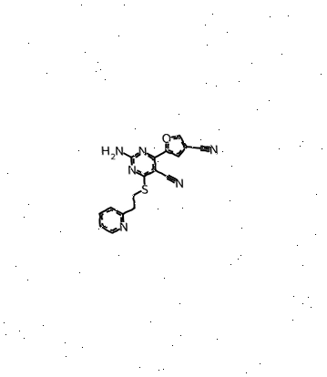 N#Cc1coc(-c2nc(N)nc(SCCc3ccccn3)c2C#N)c1